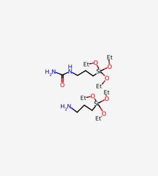 CCO[Si](CCCN)(OCC)OCC.CCO[Si](CCCNC(N)=O)(OCC)OCC